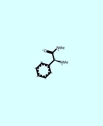 CNC(=O)[C@@H](NC)c1ccccc1